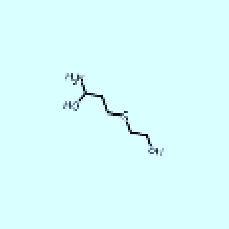 NC(O)CCSCCO